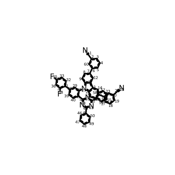 N#Cc1cccc(-c2ccc3c(c2)c2cc(-c4cccc(C#N)c4)ccc2n3-c2cc(-c3ccc(F)cc3F)ccc2-c2nc(-c3ccccc3)nc(-c3ccccc3)n2)c1